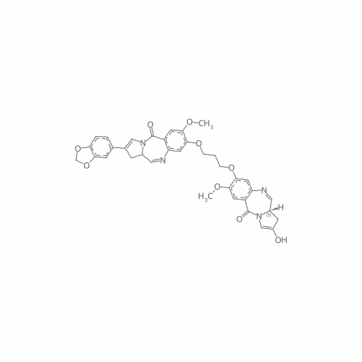 COc1cc2c(cc1OCCCOc1cc3c(cc1OC)C(=O)N1C=C(O)C[C@H]1C=N3)N=CC1CC(c3ccc4c(c3)OCO4)=CN1C2=O